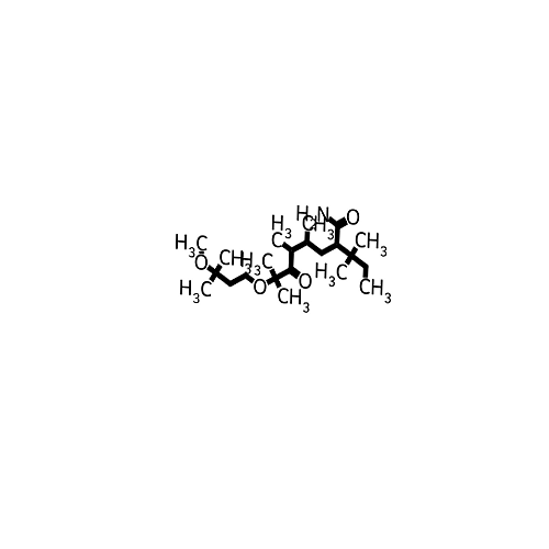 CCC(C)(C)C(CC(C)C(C)C(=O)C(C)(C)OCCC(C)(C)OC)C(N)=O